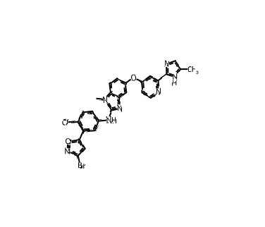 Cn1c(Nc2ccc(Cl)c(-c3cc(Br)no3)c2)nc2cc(Oc3ccnc(-c4ncc(C(F)(F)F)[nH]4)c3)ccc21